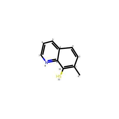 Cc1ccc2cccnc2c1S